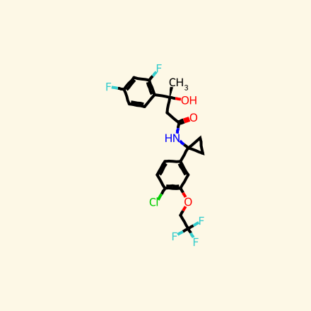 C[C@@](O)(CC(=O)NC1(c2ccc(Cl)c(OCC(F)(F)F)c2)CC1)c1ccc(F)cc1F